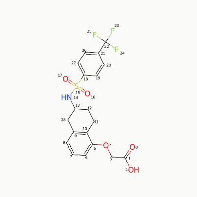 O=C(O)COc1cccc2c1CCC(NS(=O)(=O)c1ccc(C(F)(F)F)cc1)C2